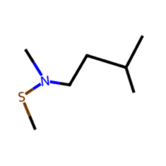 CSN(C)CCC(C)C